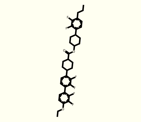 CCCc1ccc(C2CCC(OC(=O)C3CCC(c4ccc(-c5ccc(OCC)c(F)c5F)c(F)c4F)CC3)CC2)c(F)c1F